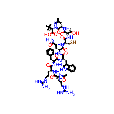 CC(=O)N[C@@H](CCCNC(=N)N)C(=O)N[C@@H](CCCNC(=N)N)C(=O)N[C@@H](Cc1ccccc1)C(=O)N[C@@H](Cc1c[nH]c2ccccc12)C(=O)N[C@@H](CCC(N)=O)C(=O)N[C@@H](CS)C(=O)N[C@H](C(=O)N[C@@H](CC(C)C)C(=O)N[C@H](C(=O)O)C(C)(C)C)[C@@H](C)O